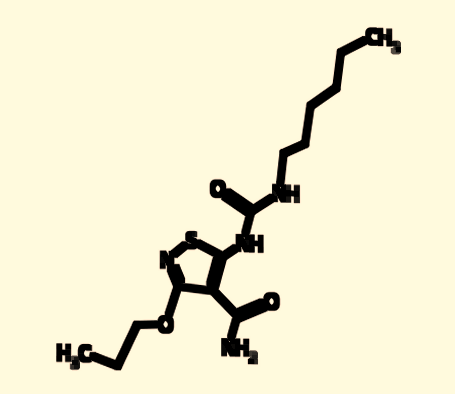 CCCCCCNC(=O)Nc1snc(OCCC)c1C(N)=O